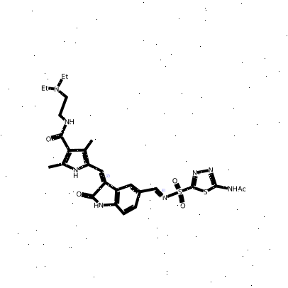 CCN(CC)CCNC(=O)c1c(C)[nH]c(/C=C2\C(=O)Nc3ccc(/C=N/S(=O)(=O)c4nnc(NC(C)=O)s4)cc32)c1C